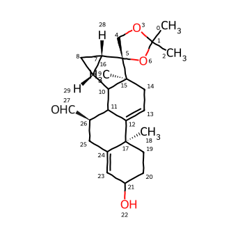 CC1(C)OC[C@]2(O1)[C@H]1C[C@H]1C1C3C(=CC[C@@]12C)[C@@]1(C)CCC(O)C=C1C[C@H]3C=O